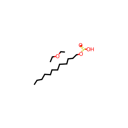 CCCCCCCCCCCCOS(=O)O.CCOCC